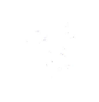 CC(C)C(N)CNc1nc(-c2ccccc2O)nc2ccc(Cl)cc12